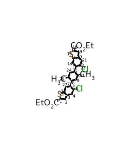 CCOC(=O)c1cc2cc(Cl)c(-c3cc(C)c(-c4cc5sc(C(=O)OCC)cc5cc4Cl)cc3C)cc2s1